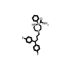 NC(=O)[N+]1(c2ccccc2)CCN(CCCC(c2ccc(F)cc2)c2ccc(F)cc2)CCN1